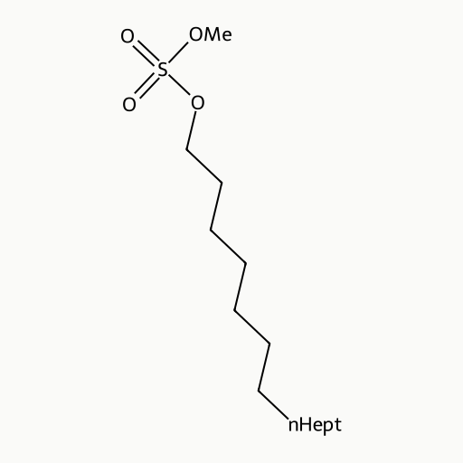 CCCCCCCCCCCCCCOS(=O)(=O)OC